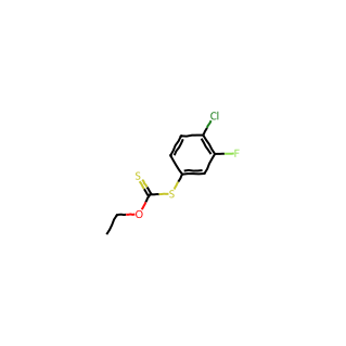 CCOC(=S)Sc1ccc(Cl)c(F)c1